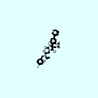 C[C@H](N(Cc1ccc(F)cc1)C(=O)CN1C(=O)NC2(CS(=O)(=O)c3cc(-c4cccnc4)ccc32)C1=O)C(F)(F)F